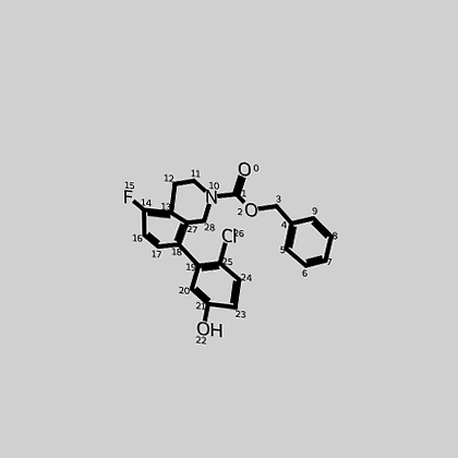 O=C(OCc1ccccc1)N1CCc2c(F)ccc(-c3cc(O)ccc3Cl)c2C1